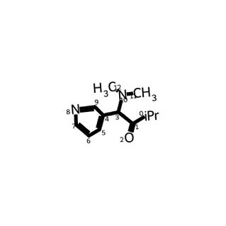 CC(C)C(=O)C(c1cccnc1)N(C)C